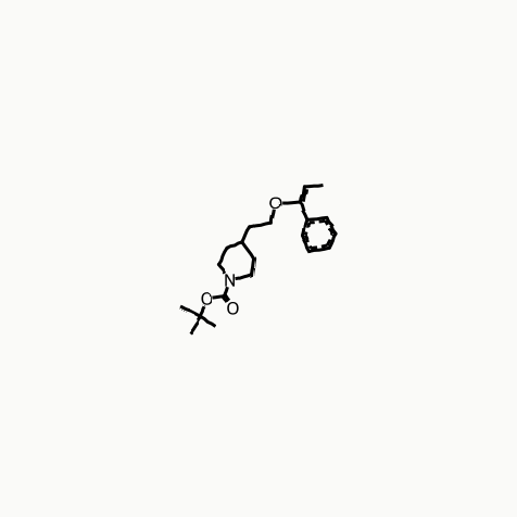 CC=C(OCCC1CCN(C(=O)OC(C)(C)C)CC1)c1ccccc1